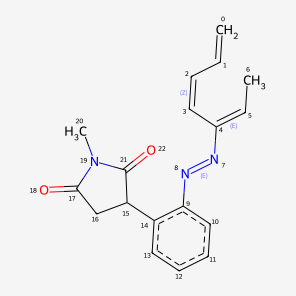 C=C\C=C/C(=C\C)/N=N/c1ccccc1C1CC(=O)N(C)C1=O